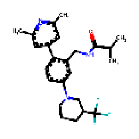 Cc1cc(-c2ccc(N3CCCC(C(F)(F)F)C3)cc2CNC(=O)C(C)C)cc(C)n1